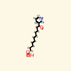 O=C(CCCCCCCCCCOO)c1cccnc1